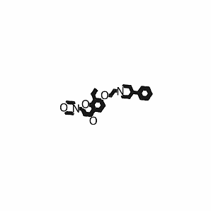 C=Cc1c(OCCN2CCC(c3ccccc3)CC2)ccc2c(=O)cc(N3CCOCC3)oc12